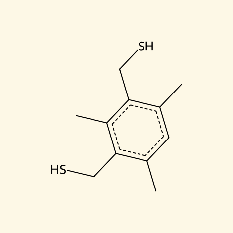 Cc1cc(C)c(CS)c(C)c1CS